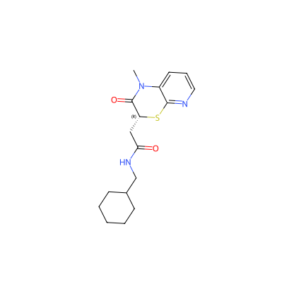 CN1C(=O)[C@@H](CC(=O)NCC2CCCCC2)Sc2ncccc21